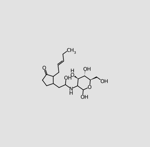 CC/C=C/CC1C(=O)CCC1CC(O)NC1C(O)O[C@H](CO)[C@@H](O)[C@@H]1O